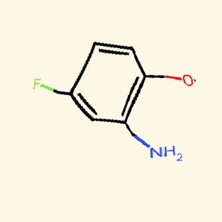 Nc1cc(F)ccc1[O]